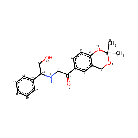 CC1(C)OCc2cc(C(=O)CNC(CO)c3ccccc3)ccc2O1